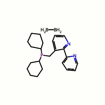 BB.c1ccc(-c2ncccc2CP(C2CCCCC2)C2CCCCC2)nc1